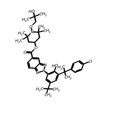 CC(C)(O)CON1C(C)(C)CC(OC(=O)c2ccc3nn(-c4cc(C(C)(C)C)cc(C(C)(C)c5ccc(Cl)cc5)c4O)nc3c2)CC1(C)C